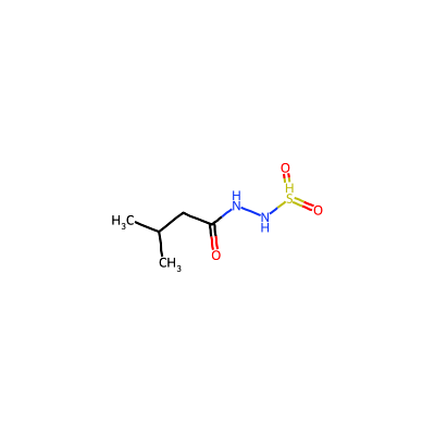 CC(C)CC(=O)NN[SH](=O)=O